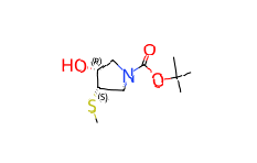 CS[C@H]1CN(C(=O)OC(C)(C)C)C[C@H]1O